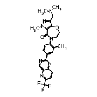 Cc1cc(-c2ncc3nc(C(F)(F)F)ccc3n2)ccc1N1CCOc2c(CN(C)C)nn(C)c2C1=O